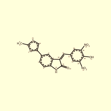 Cc1nc(-c2ccc3c(c2)/C(=C/c2cc([N+](=O)[O-])c(O)c([N+](=O)[O-])c2)C(=O)N3)cs1